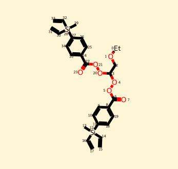 [CH2]COC[C](OOC(=O)c1ccc([Si](C)(C=C)C=C)cc1)OOC(=O)c1ccc([Si](C)(C=C)C=C)cc1